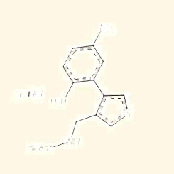 CCCCCNCc1cscc1-c1cc(N)ccc1N.Cl.Cl